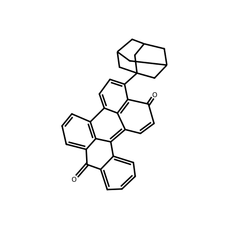 O=c1c2ccccc2c2c3ccc(=O)c4c(C56CC7CC(CC(C7)C5)C6)ccc(c5cccc1c52)c43